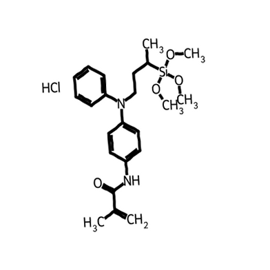 C=C(C)C(=O)Nc1ccc(N(CCC(C)[Si](OC)(OC)OC)c2ccccc2)cc1.Cl